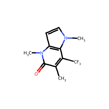 Cc1c(C(F)(F)F)c2c(ccn2C)n(C)c1=O